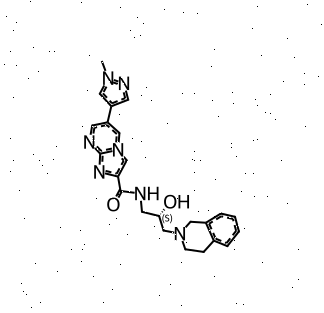 Cn1cc(-c2cnc3nc(C(=O)NC[C@H](O)CN4CCc5ccccc5C4)cn3c2)cn1